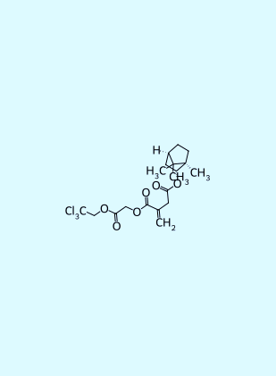 C=C(CC(=O)O[C@@H]1C[C@H]2CC[C@]1(C)C2(C)C)C(=O)OCC(=O)OCC(Cl)(Cl)Cl